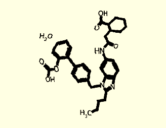 CCCCc1nc2ccc(NC(=O)CC3CCCCC3C(=O)O)cc2n1Cc1ccc(-c2ccccc2OC(=O)O)cc1.O